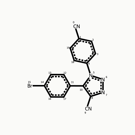 N#Cc1ccc(-n2nnc(C#N)c2-c2ccc(Br)cc2)cc1